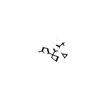 CC(C)(C)c1nnc(C2(c3ccc(Cl)s3)C=CC2)n1C1CC1